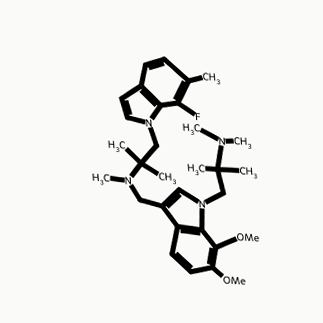 COc1ccc2c(CN(C)C(C)(C)Cn3ccc4ccc(C)c(F)c43)cn(CC(C)(C)N(C)C)c2c1OC